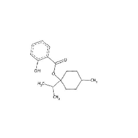 CC1CCC(OC(=O)c2ccccc2O)(C(C)C)CC1